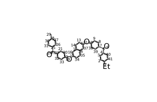 CCc1ccc(C(=O)c2ccc(Oc3ccc4cc(Oc5ccc(C(=O)c6ccc(C)cc6)cc5)ccc4c3)cc2)cc1